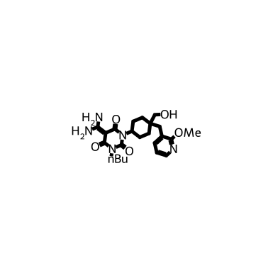 CCCCN1C(=O)C(=C(N)N)C(=O)N(C2CCC(CO)(Cc3cccnc3OC)CC2)C1=O